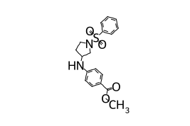 COC(=O)c1ccc(NC2CCN(S(=O)(=O)c3ccccc3)C2)cc1